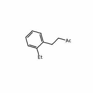 CCc1ccccc1CCC(C)=O